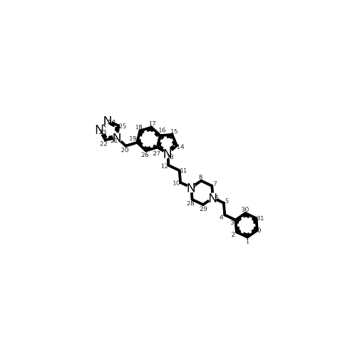 c1ccc(CCN2CCN(CCCn3ccc4ccc(Cn5cnnc5)cc43)CC2)cc1